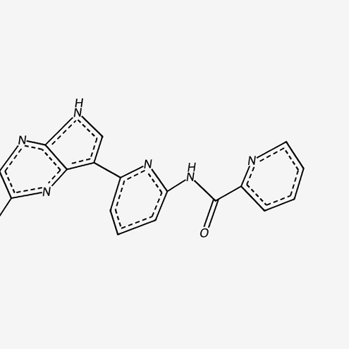 Cc1cnc2[nH]cc(-c3cccc(NC(=O)c4ccccn4)n3)c2n1